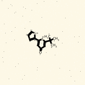 CC(C)(C)c1cc(=O)cc(-c2cccs2)s1